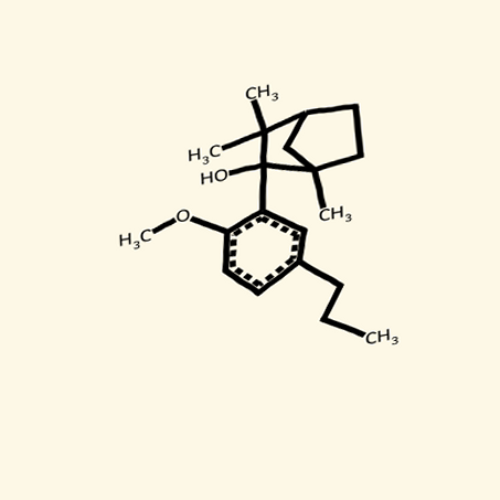 CCCc1ccc(OC)c(C2(O)C3(C)CCC(C3)C2(C)C)c1